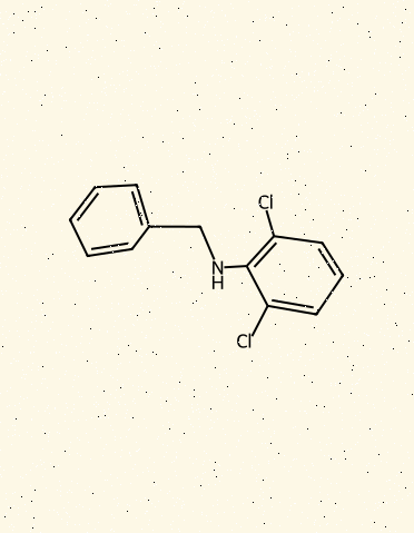 Clc1cccc(Cl)c1NCc1ccccc1